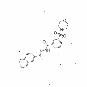 CC(=NNC(=O)c1cccc(S(=O)(=O)N2CCOCC2)c1)c1ccc2ccccc2c1